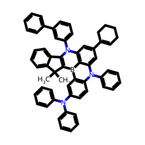 CC1(C)C2=C(c3ccccc31)N(c1cccc(-c3ccccc3)c1)c1cc(C3=CCCCC3)cc3c1B2c1cc(N(c2ccccc2)c2ccccc2)ccc1N3c1ccccc1